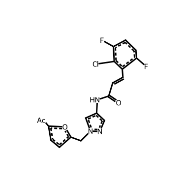 CC(=O)c1ccc(Cn2cc(NC(=O)/C=C/c3c(F)ccc(F)c3Cl)cn2)o1